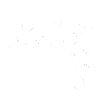 CC(C)C[C@H](NC(=O)[C@@H](N)Cc1ccccc1)C(=O)N[C@@H](CO)[C@@H](O)[C@@H](O)[C@H](O)C(=O)N[C@@H](CC(=O)O)c1ccccc1